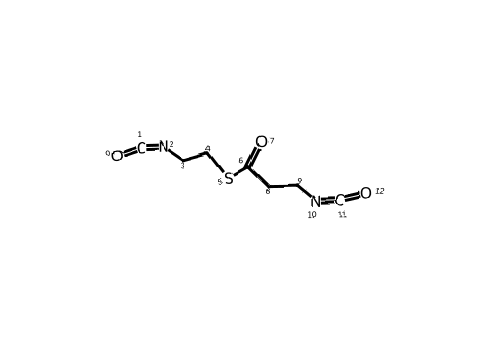 O=C=NCCSC(=O)CCN=C=O